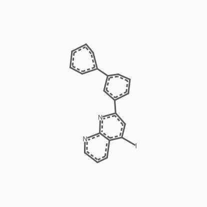 Ic1cc(-c2cccc(-c3ccccc3)c2)nc2ncccc12